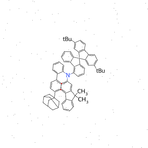 CC(C)(C)c1ccc2c(c1)C1(c3cc(C(C)(C)C)ccc3-2)c2ccccc2-c2c(N(c3ccc4c(c3)C(C)(C)c3ccccc3-4)c3ccccc3-c3ccc(C45CC6CC(CC(C6)C4)C5)cc3)cccc21